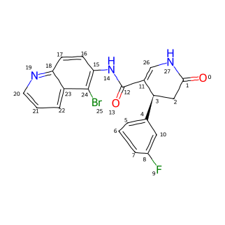 O=C1C[C@@H](c2cccc(F)c2)C(C(=O)Nc2ccc3ncccc3c2Br)=CN1